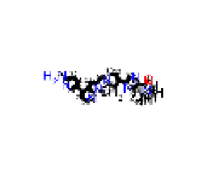 [2H]C([2H])([2H])N(C(=O)c1cnc(C2=CCN(Cc3cc4c(-c5ccc(N)nc5)ccnc4n3C)CC2)cn1)C([2H])([2H])[2H]